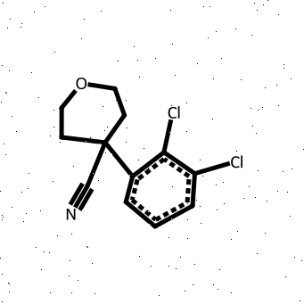 N#CC1(c2cccc(Cl)c2Cl)CCOCC1